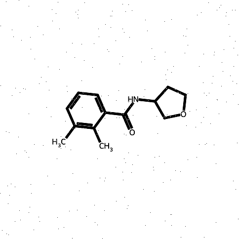 Cc1cccc(C(=O)NC2CCOC2)c1C